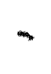 Cc1cc(CC2(F)CCCN([C@H](C)c3nc4c(cc3F)OCCO4)C2)cc(C)n1